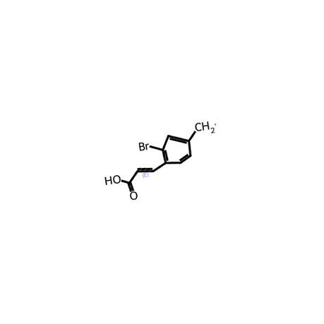 [CH2]c1ccc(/C=C/C(=O)O)c(Br)c1